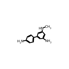 CNc1cc(N)cc(-c2ccc(N)cc2)c1